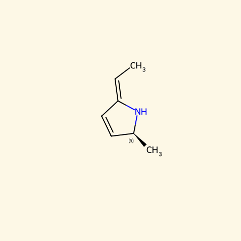 CC=C1C=C[C@H](C)N1